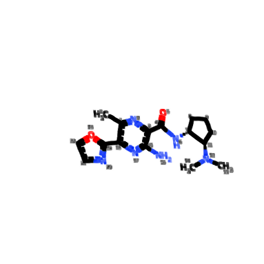 Cc1nc(C(=O)N[C@@H]2CCC[C@H]2N(C)C)c(N)nc1-c1ncco1